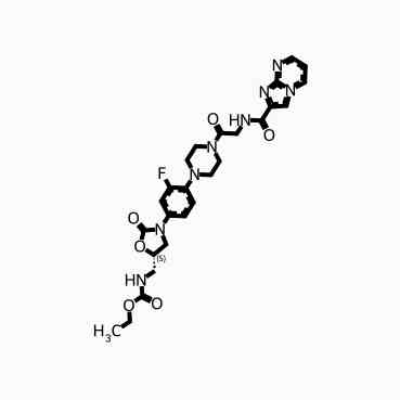 CCOC(=O)NC[C@H]1CN(c2ccc(N3CCN(C(=O)CNC(=O)c4cn5cccnc5n4)CC3)c(F)c2)C(=O)O1